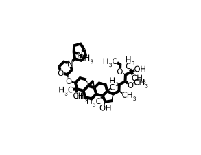 CCO[C@@H](C(C[C@@H](C)[C@H]1C[C@H](O)[C@@]2(C)C3CC[C@H]4C(C)(C)[C@@H](O[C@H]5CN(C6CCC7CCC6N7C)CCO5)CC[C@@]45C[C@@]35CC[C@]12C)OC)C(C)(C)O